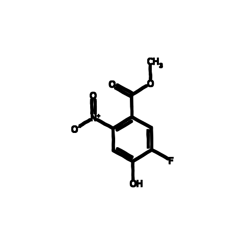 COC(=O)c1cc(F)c(O)cc1[N+](=O)[O-]